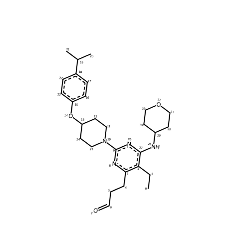 CCc1c(CCC=O)nc(N2CCC(Oc3ccc(C(C)C)cc3)CC2)nc1NC1CCOCC1